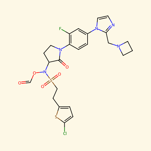 O=CON(C1CCN(c2ccc(-n3ccnc3CN3CCC3)cc2F)C1=O)S(=O)(=O)CCc1ccc(Cl)s1